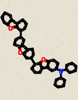 c1ccc(N(c2ccccc2)c2ccc3oc4c(-c5ccc6c(c5)oc5ccc(-c7cccc8c7oc7ccccc78)cc56)cccc4c3c2)cc1